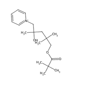 CC(C)(COC(=O)C(C)(C)C)CC(C)(O)C[n+]1ccccc1